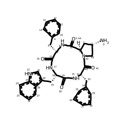 N[C@H]1C[C@@H]2C(=O)N[C@@H](Cc3ccccc3)C(=O)N[C@@H](Cc3c[nH]c4ccccc34)C(=O)N[C@@H](Cc3ccccc3)C(=O)N2C1